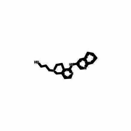 OCCCN1CCc2c(ccnc2Nc2cnc3ccccc3c2)C1